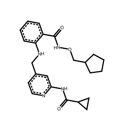 O=C(NOCC1CCCC1)c1ccccc1NCc1ccnc(NC(=O)C2CC2)c1